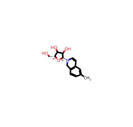 Cc1ccc2c(c1)C=CN([C@@H]1O[C@H](CO)C(O)C1O)C2